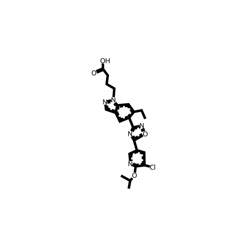 CCc1cc2c(cnn2CCCC(=O)O)cc1-c1noc(-c2cnc(OC(C)C)c(Cl)c2)n1